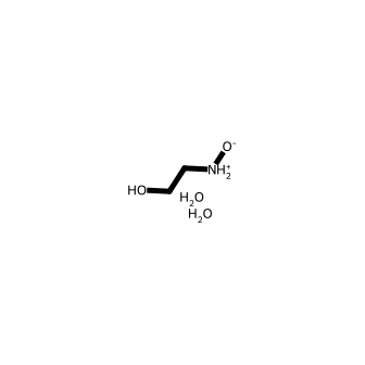 O.O.[O-][NH2+]CCO